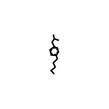 [CH2]CCCCc1ccc(CC(C)C)cc1